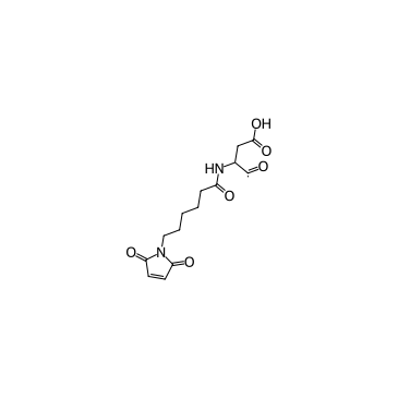 O=[C]C(CC(=O)O)NC(=O)CCCCCN1C(=O)C=CC1=O